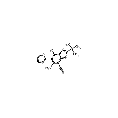 Cc1c(-c2ccco2)c(Br)c2oc(C(C)(C)C)nc2c1C#N